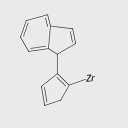 [Zr][C]1=C(C2C=Cc3ccccc32)C=CC1